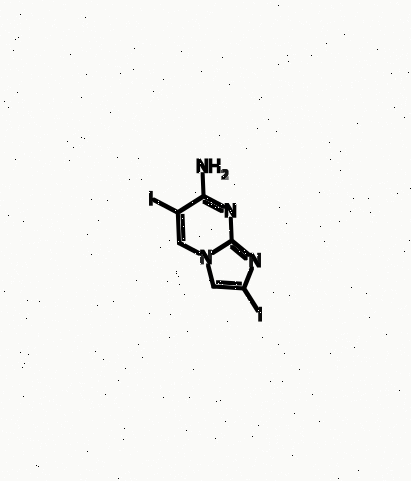 Nc1nc2nc(I)cn2cc1I